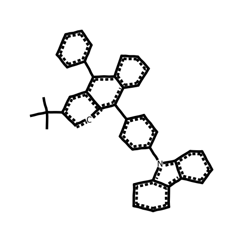 CC(C)(C)c1ccc2c(-c3ccc(-n4c5ccccc5c5ccccc54)cc3)c3ccccc3c(-c3ccccc3)c2c1